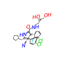 N#C[C@]1(c2ccc(Cl)cc2)[C@H](CC2CCCC2)N[C@@H](C(=O)NCC[C@H](O)CO)[C@@H]1c1cccc(Cl)c1F